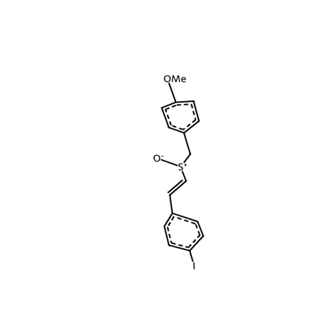 COc1ccc(C[S+]([O-])C=Cc2ccc(I)cc2)cc1